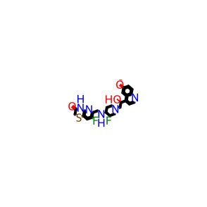 COc1ccc2nccc([C@H](O)CN3CC[C@@H](NCc4nc5c(cc4F)SCC(=O)N5)[C@H](F)C3)c2c1